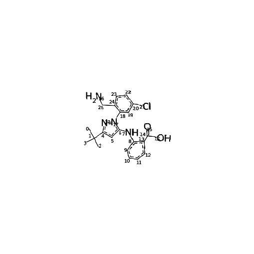 CC(C)(C)c1cc(Nc2ccccc2C(=O)O)n(-c2cc(Cl)ccc2CN)n1